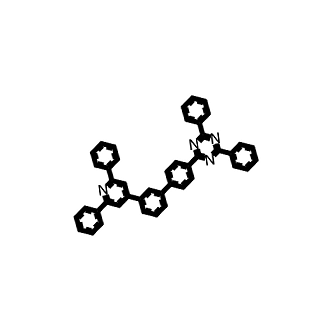 c1ccc(-c2cc(-c3cccc(-c4ccc(-c5nc(-c6ccccc6)nc(-c6ccccc6)n5)cc4)c3)cc(-c3ccccc3)n2)cc1